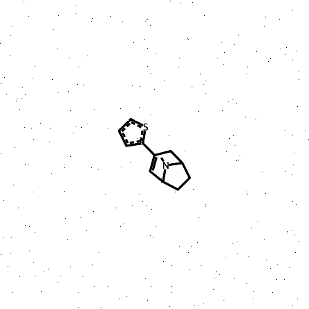 CN1C2C=C(c3cccs3)CC1CC2